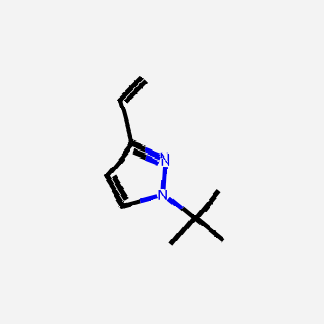 C=Cc1ccn(C(C)(C)C)n1